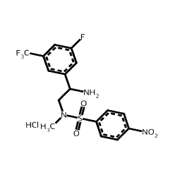 CN(CC(N)c1cc(F)cc(C(F)(F)F)c1)S(=O)(=O)c1ccc([N+](=O)[O-])cc1.Cl